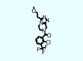 COCCc1nnc2n1CCN(C(=O)c1cccc(C(F)(F)F)c1Cl)C2